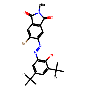 CCCCN1C(=O)c2cc(Br)c(/N=N/c3cc(C(C)(C)CC)cc(C(C)(C)CC)c3O)cc2C1=O